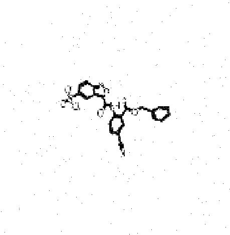 N#Cc1ccc(NC(=O)c2onc3ccc(S(=O)(=O)Cl)cc23)c(C(=O)OCc2ccccc2)c1